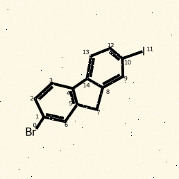 Brc1ccc2c(c1)Cc1cc(I)ccc1-2